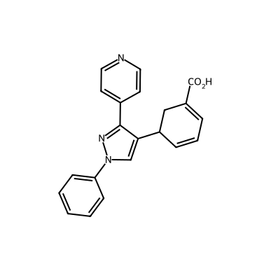 O=C(O)C1=CC=CC(c2cn(-c3ccccc3)nc2-c2ccncc2)C1